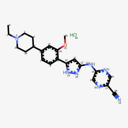 CCN1CCC(c2ccc(-c3cc(Nc4cnc(C#N)cn4)n[nH]3)c(OC)c2)CC1.Cl